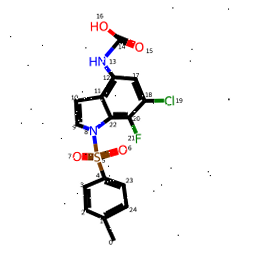 Cc1ccc(S(=O)(=O)n2ccc3c(NC(=O)O)cc(Cl)c(F)c32)cc1